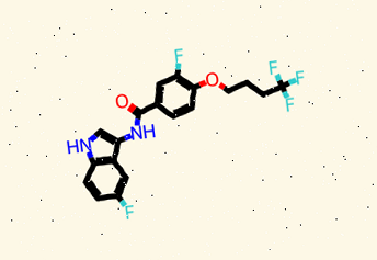 O=C(Nc1c[nH]c2ccc(F)cc12)c1ccc(OCCCC(F)(F)F)c(F)c1